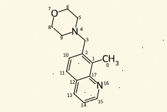 Cc1c(CN2CCOCC2)ccc2cccnc12